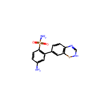 Nc1ccc(S(N)(=O)=O)c(-c2ccc3c(c2)SNC=N3)c1